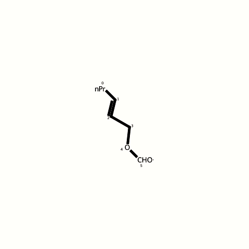 CCC/C=C/CO[C]=O